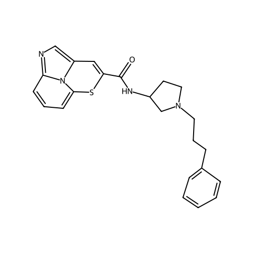 O=C(NC1CCN(CCCc2ccccc2)C1)C1=Cc2cnc3cccc(n23)S1